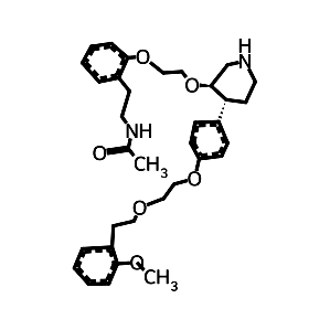 COc1ccccc1CCOCCOc1ccc([C@H]2CCNC[C@@H]2OCCOc2ccccc2CCNC(C)=O)cc1